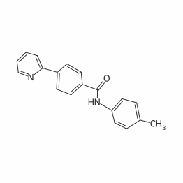 Cc1ccc(NC(=O)c2ccc(-c3ccccn3)cc2)cc1